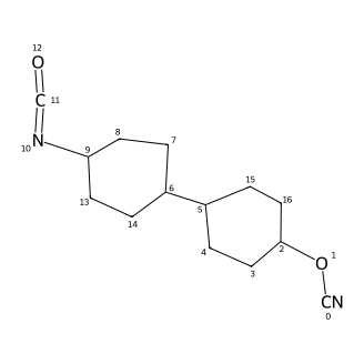 N#COC1CCC(C2CCC(N=C=O)CC2)CC1